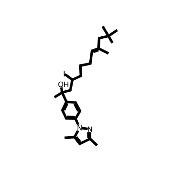 C/C(=C\CCCC(I)CC(C)(O)c1ccc(-n2nc(C)cc2C)cc1)CC(C)(C)C